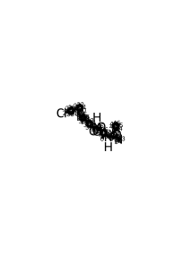 Cc1cc(S(=O)(=O)NC(=O)c2ccc(N3CCN(Cc4ccccc4-c4ccc(Cl)cc4)CC3)cc2)ccc1N[C@@H](CSc1ccccc1)CC(=O)N(C)C